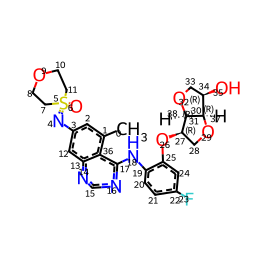 Cc1cc(N=S2(=O)CCOCC2)cc2ncnc(Nc3ccc(F)cc3O[C@@H]3CO[C@H]4[C@@H]3OC[C@H]4O)c12